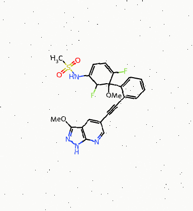 COc1n[nH]c2ncc(C#Cc3ccccc3C3(OC)C(F)=CC=C(NS(C)(=O)=O)C3F)cc12